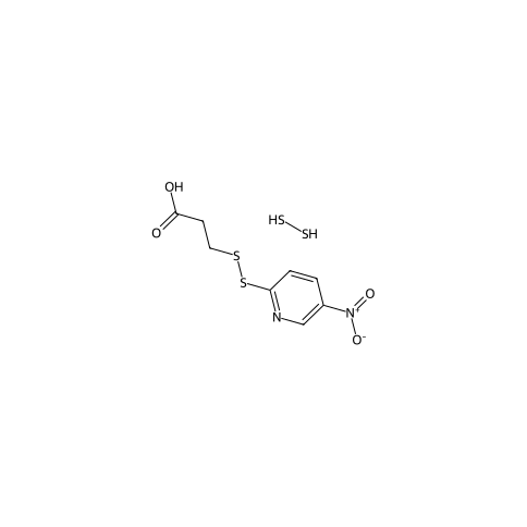 O=C(O)CCSSc1ccc([N+](=O)[O-])cn1.SS